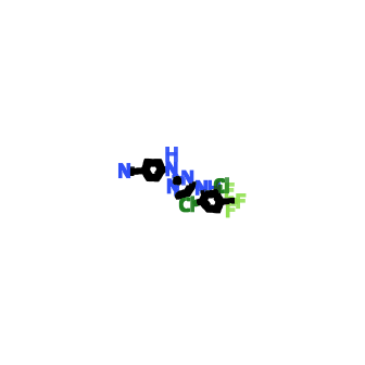 N#Cc1ccc(Nc2nccc(Nc3c(Cl)ccc(C(F)(F)F)c3Cl)n2)cc1